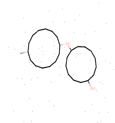 B[C@@H]1CCCCCC[C@H](B[C@H]2CCCCCC[C@@H](C)CCCCCC2)CCCCC1